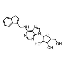 OC[C@H]1O[C@@H](n2cnc3c(NCC4=CCc5ccccc54)ncnc32)C(O)C1O